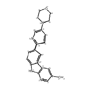 Cc1cnc2[nH]c3ccc(-c4ccc(N5CCOCC5)cn4)cc3c2c1